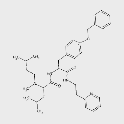 CC(C)CCN(C)[C@@H](CC(C)C)C(=O)N[C@@H](Cc1ccc(OCc2ccccc2)cc1)C(=O)NCCc1ccccn1